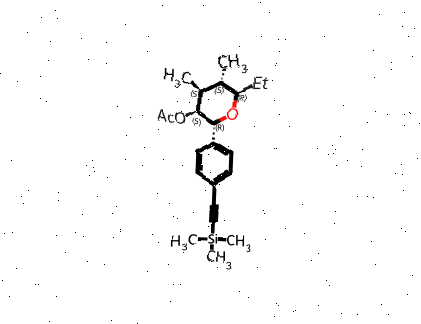 CC[C@H]1O[C@H](c2ccc(C#C[Si](C)(C)C)cc2)[C@@H](OC(C)=O)[C@@H](C)[C@@H]1C